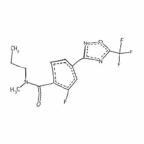 CCCN(C)C(=O)c1ccc(-c2noc(C(F)(F)F)n2)cc1F